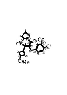 COC1CC(c2[nH]c3ccnn3c(=O)c2Cc2ccc(Cl)c(C(F)(F)F)c2)C1